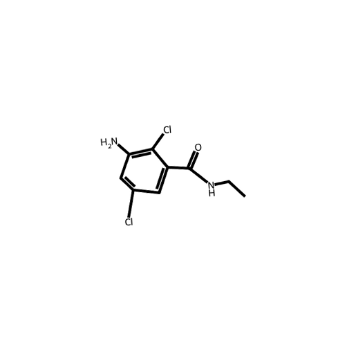 CCNC(=O)c1cc(Cl)cc(N)c1Cl